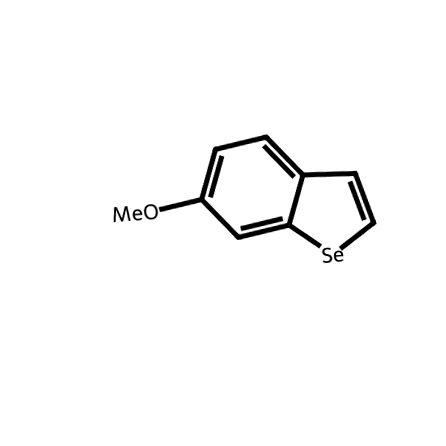 COc1ccc2cc[se]c2c1